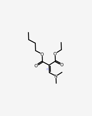 CCCCOC(=O)/C(=C/N(C)C)C(=O)OCC